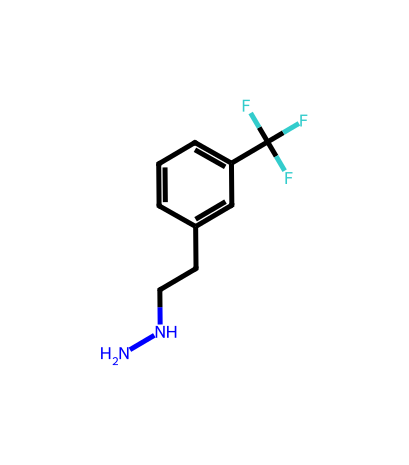 NNCCc1cccc(C(F)(F)F)c1